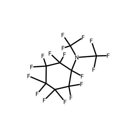 FC(F)(F)N(C(F)(F)F)C1(F)C(F)(F)C(F)(F)C(F)(F)C(F)(F)C1(F)F